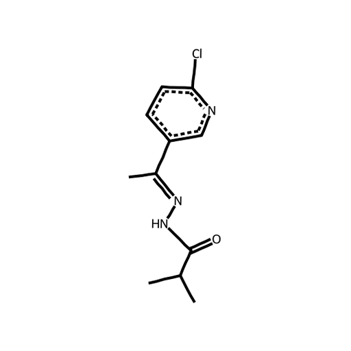 CC(=NNC(=O)C(C)C)c1ccc(Cl)nc1